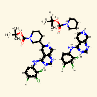 CC(C)(C)OC(=O)N1CCCC(c2cc3c(Nc4ccc(F)c(Cl)c4F)ncnc3cn2)C1.CC(C)(C)OC(=O)N1CCC[C@H](c2cc3c(Nc4ccc(F)c(Cl)c4F)ncnc3cn2)C1